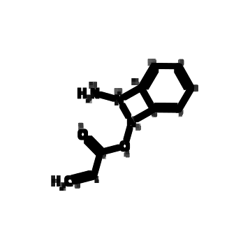 C=CC(=O)On1c2ccccc2n1N